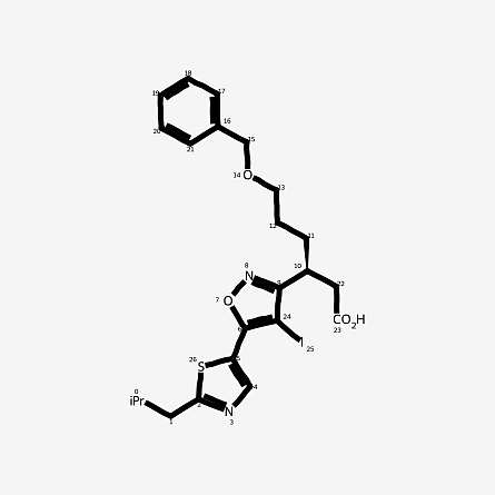 CC(C)Cc1ncc(-c2onc([C@@H](CCCOCc3ccccc3)CC(=O)O)c2I)s1